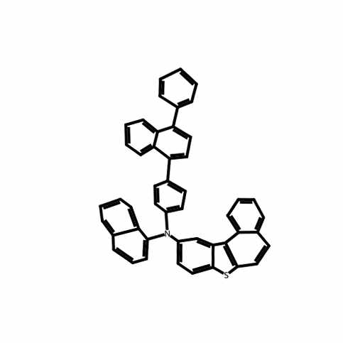 c1ccc(-c2ccc(-c3ccc(N(c4ccc5sc6ccc7ccccc7c6c5c4)c4cccc5ccccc45)cc3)c3ccccc23)cc1